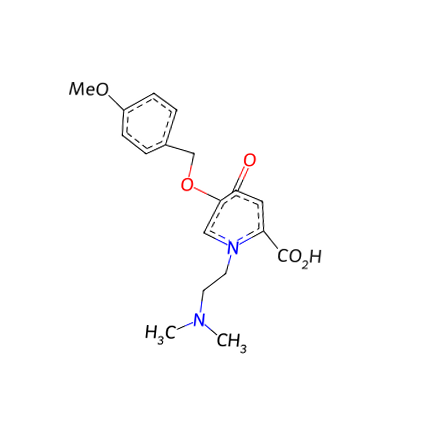 COc1ccc(COc2cn(CCN(C)C)c(C(=O)O)cc2=O)cc1